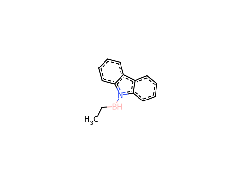 CCBn1c2ccccc2c2ccccc21